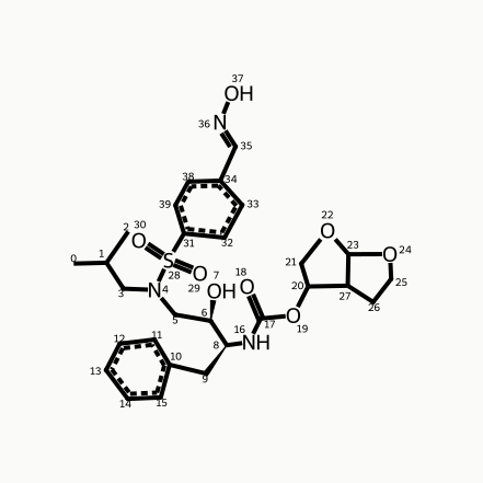 CC(C)CN(C[C@@H](O)[C@H](Cc1ccccc1)NC(=O)OC1COC2OCCC12)S(=O)(=O)c1ccc(/C=N/O)cc1